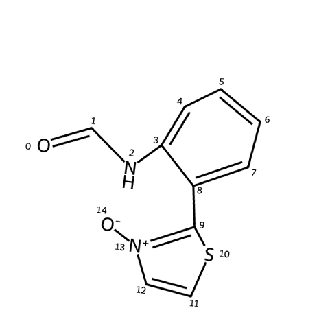 O=CNc1ccccc1-c1scc[n+]1[O-]